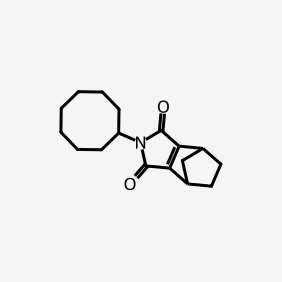 O=C1C2=C(C(=O)N1C1CCCCCCC1)C1CCC2C1